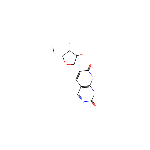 O=c1ncc2cc([C@@H]3O[C@H](CO)[C@H](O)C3O)c(=O)[nH]c2[nH]1